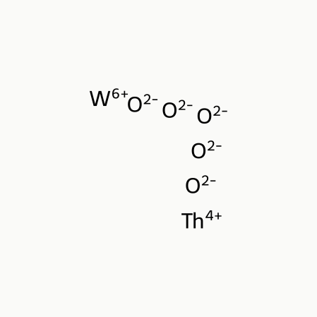 [O-2].[O-2].[O-2].[O-2].[O-2].[Th+4].[W+6]